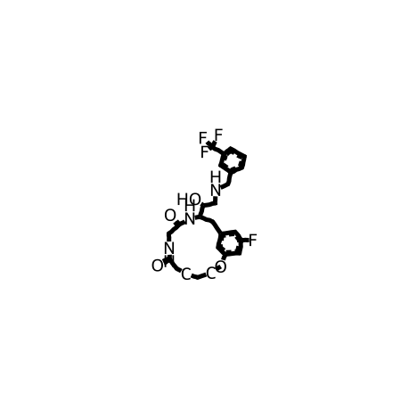 O=C1CCCCOc2cc(F)cc(c2)CC(C(O)CNCc2cccc(C(F)(F)F)c2)NC(=O)CN1